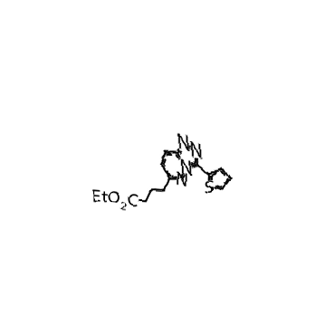 CCOC(=O)CCCc1ccc2nnc(-c3cccs3)n2n1